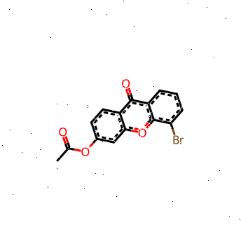 CC(=O)Oc1ccc2c(=O)c3cccc(Br)c3oc2c1